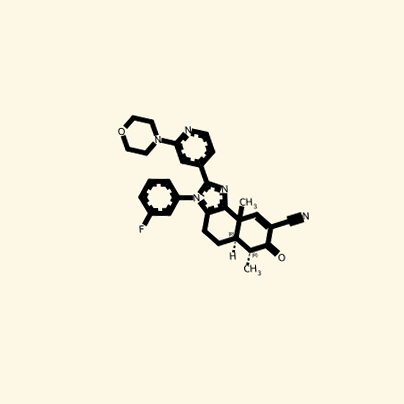 C[C@H]1C(=O)C(C#N)=CC2(C)c3nc(-c4ccnc(N5CCOCC5)c4)n(-c4cccc(F)c4)c3CC[C@H]12